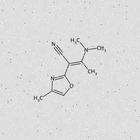 C/C(=C(/C#N)c1nc(C)co1)N(C)C